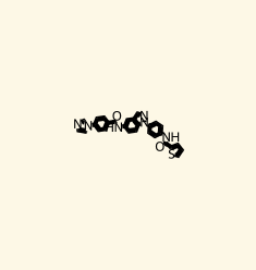 O=C(Nc1ccc2c(cnn2-c2ccc(NC(=O)c3cccs3)cc2)c1)c1ccc(-n2ccnc2)cc1